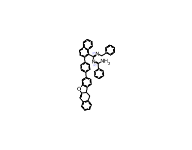 N/C(=N\C(=N/Cc1ccccc1)c1c(-c2ccc(-c3ccc4c(c3)OC3=Cc5ccccc5CC34)cc2)ccc2ccccc12)c1ccccc1